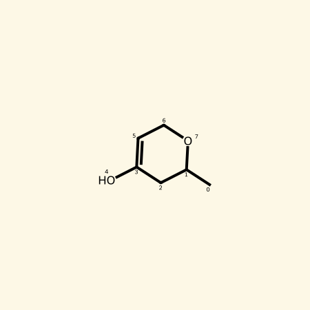 CC1CC(O)=CCO1